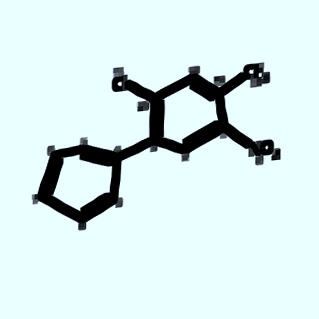 O=[N+]([O-])c1cc(-c2ccccc2)c(Cl)cc1C(F)(F)F